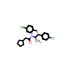 C[C@@H](NC(=O)CC1CCCC1)[C@H](Cc1ccc(Cl)cc1)c1ccc(Cl)cc1